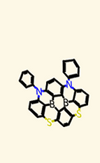 c1ccc(N2c3cccc4c3B3c5c(ccc6c5B5c7c(cccc7N(c7ccccc7)c7ccc2c3c75)S6)S4)cc1